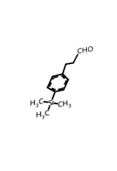 C[Si](C)(C)c1ccc(CCC=O)cc1